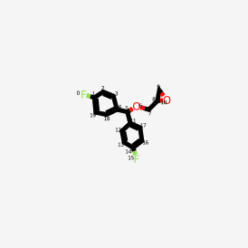 Fc1ccc(C(OCC2CO2)c2ccc(F)cc2)cc1